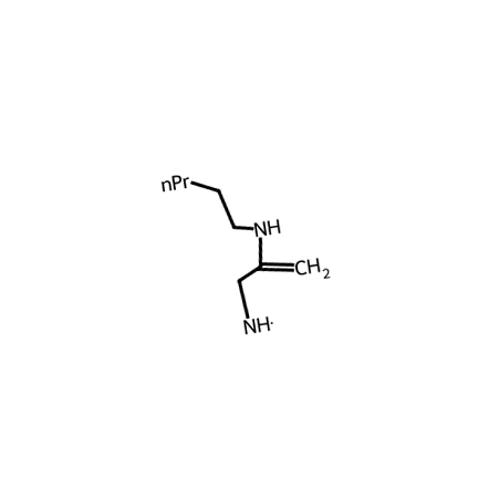 C=C(C[NH])NCCCCC